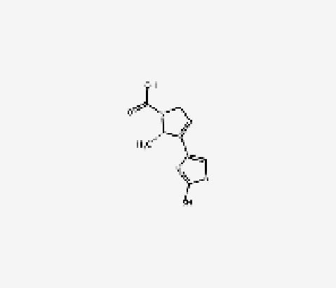 C[C@H]1C(c2csc(S)n2)=CCN1C(=O)O